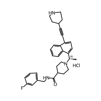 C[C@H](c1ccc(C#CC2CCNCC2)c2ccccc12)N1CCC(C(=O)NCc2cccc(F)c2)CC1.Cl